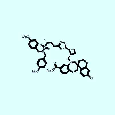 COC(=O)c1ccc2c(c1)N(C[C@@H]1CC[C@H]1[C@@H]1CC(CC[C@@H](C)S(=O)(=O)N(Cc3ccc(OC)cc3)Cc3ccc(OC)cc3)=NO1)CC1(CCCc3cc(Cl)ccc31)CO2